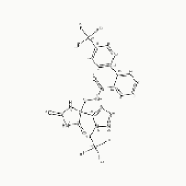 O=C1NC(=O)C(CNC(=O)c2ccccc2-c2ccc(C(F)(F)F)cc2)(c2ccnn2CC(F)(F)F)N1